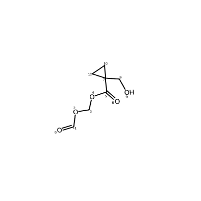 O=[C]OCOC(=O)C1(CO)CC1